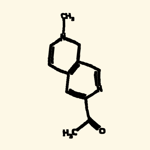 CC(=O)c1cc2c(cn1)CN(C)C=C2